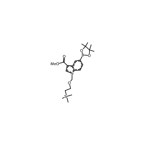 COC(=O)c1cn(COCC[Si](C)(C)C)c2ccc(B3OC(C)(C)C(C)(C)O3)cc12